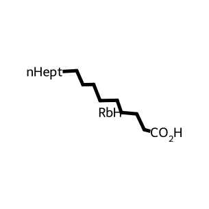 CCCCCCCCCCCCCCCC(=O)O.[RbH]